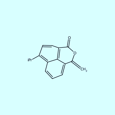 C=c1oc(=O)c2ccc(C(C)C)c3cccc1c32